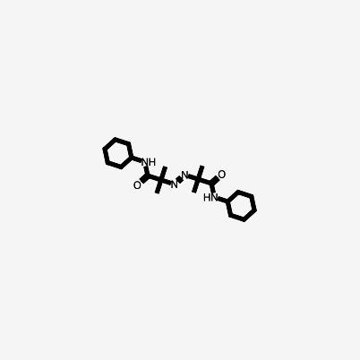 CC(C)(/N=N/C(C)(C)C(=O)NC1CCCCC1)C(=O)NC1CCCCC1